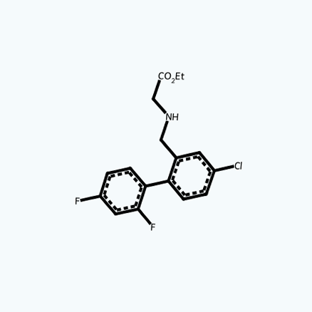 CCOC(=O)CNCc1cc(Cl)ccc1-c1ccc(F)cc1F